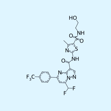 Cc1nc(NC(=O)c2cnn3c(C(F)F)cc(-c4ccc(C(F)(F)F)cc4)nc23)sc1S(=O)(=O)NCCO